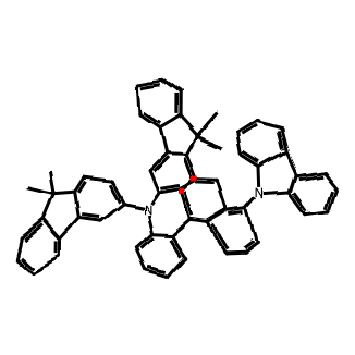 CC1(C)c2ccccc2-c2cc(N(c3ccc4c(c3)-c3ccccc3C4(C)C)c3ccccc3-c3cccc4c(-n5c6ccccc6c6ccccc65)cccc34)ccc21